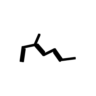 [CH]=CC(C)=CC=CC